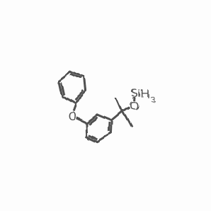 CC(C)(O[SiH3])c1cccc(Oc2ccccc2)c1